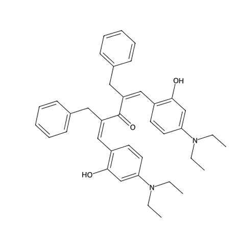 CCN(CC)c1ccc(C=C(Cc2ccccc2)C(=O)C(=Cc2ccc(N(CC)CC)cc2O)Cc2ccccc2)c(O)c1